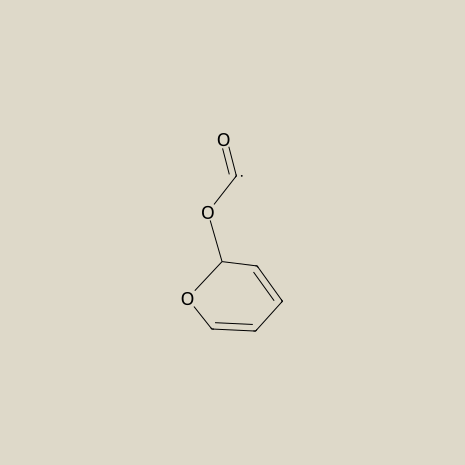 O=[C]OC1C=CC=CO1